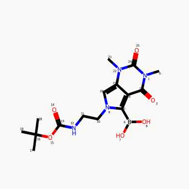 Cn1c(=O)c2c(B(O)O)n(CCNC(=O)OC(C)(C)C)cc2n(C)c1=O